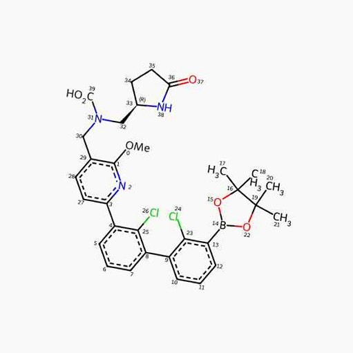 COc1nc(-c2cccc(-c3cccc(B4OC(C)(C)C(C)(C)O4)c3Cl)c2Cl)ccc1CN(C[C@H]1CCC(=O)N1)C(=O)O